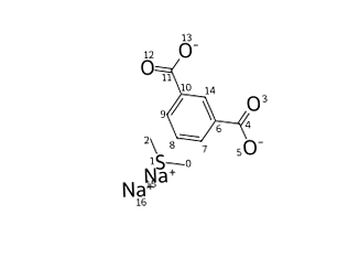 CSC.O=C([O-])c1cccc(C(=O)[O-])c1.[Na+].[Na+]